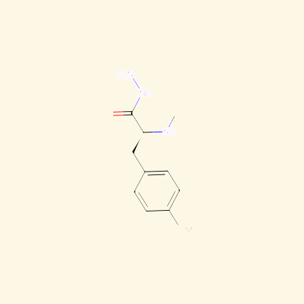 COc1ccc(C[C@H](NC(=O)O)C(=O)NN)cc1